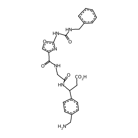 NCc1ccc(C(CC(=O)O)NC(=O)CNC(=O)c2coc(NC(=O)NCc3ccccc3)n2)cc1